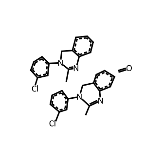 C=O.CC1=Nc2ccccc2CN1c1cccc(Cl)c1.CC1=Nc2ccccc2CN1c1cccc(Cl)c1